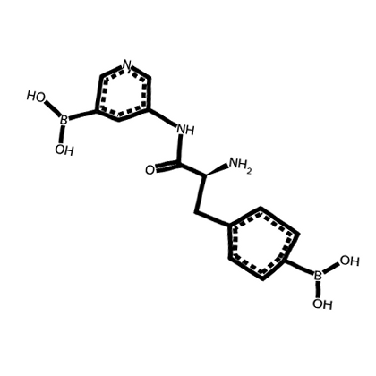 N[C@@H](Cc1ccc(B(O)O)cc1)C(=O)Nc1cncc(B(O)O)c1